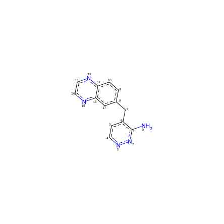 Nc1nnccc1Cc1ccc2nccnc2c1